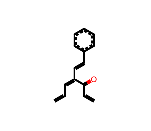 C=CC=C(C=Cc1ccccc1)C(=O)C=C